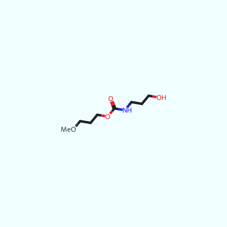 COCCCOC(=O)NCCCO